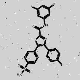 CS(=O)(=O)c1ccc(-c2sc(C(=O)Nc3cc(F)cc(F)c3)nc2-c2ccc(F)cc2)cc1